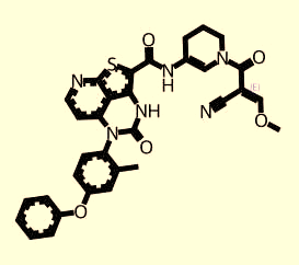 CO/C=C(\C#N)C(=O)N1C=C(NC(=O)c2sc3nccc4c3c2NC(=O)N4c2ccc(Oc3ccccc3)cc2C)CCC1